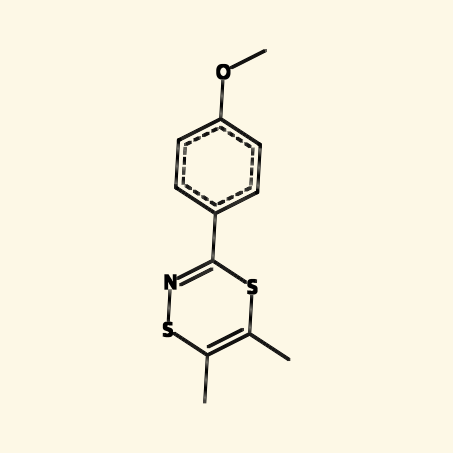 COc1ccc(C2=NSC(C)=C(C)S2)cc1